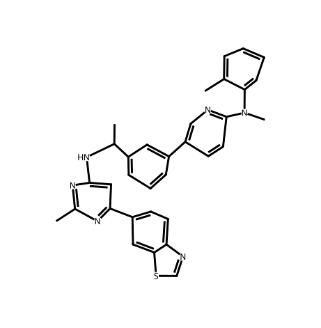 Cc1nc(NC(C)c2cccc(-c3ccc(N(C)c4ccccc4C)nc3)c2)cc(-c2ccc3ncsc3c2)n1